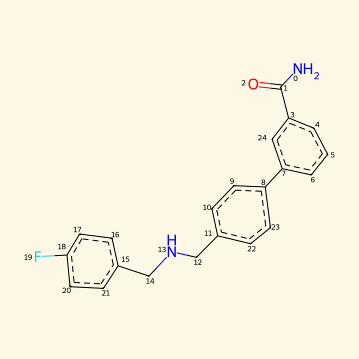 NC(=O)c1cccc(-c2ccc(CNCc3ccc(F)cc3)cc2)c1